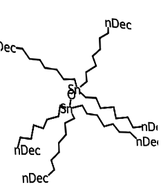 CCCCCCCCCCCCCCCC[CH2][Sn]([CH2]CCCCCCCCCCCCCCCC)([CH2]CCCCCCCCCCCCCCCC)[O][Sn]([CH2]CCCCCCCCCCCCCCCC)([CH2]CCCCCCCCCCCCCCCC)[CH2]CCCCCCCCCCCCCCCC